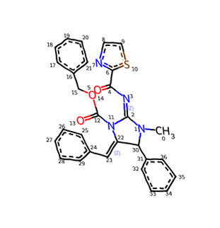 CN1/C(=N/C(=O)c2nccs2)N(C(=O)OCc2ccccc2)/C(=C\c2ccccc2)C1c1ccccc1